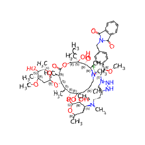 CC[C@H]1OC(=O)[C@H](C)[C@@H](O[C@H]2C[C@@](C)(OC)[C@@H](O)[C@H](C)O2)[C@H](C)[C@@H](O[C@@H]2O[C@H](C)C[C@H](N(C)CCC3=CN([C@H](CF)[C@H](OC)c4ccc(CN5C(=O)c6ccccc6C5=O)cc4)NN3)[C@H]2O)[C@](C)(O)C[C@@H](C)CN(C)[C@H](C)[C@@H](O)[C@]1(C)O